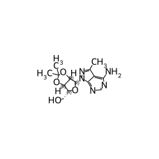 Cc1nn([C@@H]2O[C@H](CO)[C@H]3OC(C)(C)O[C@H]32)c2ncnc(N)c12